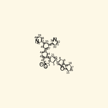 O=S1(=O)Cc2cc(-c3ccc4c(c3)oc3ccccc34)ccc2-c2cc(-c3cc(-c4cccnc4)cc(-c4cccnc4)c3)ccc2C1